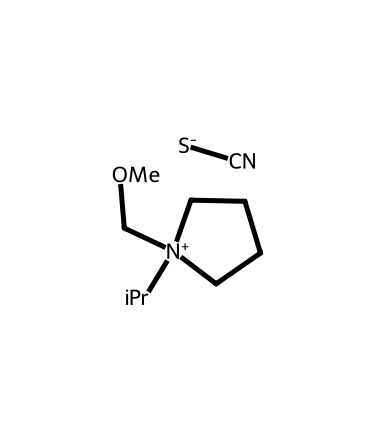 COC[N+]1(C(C)C)CCCC1.N#C[S-]